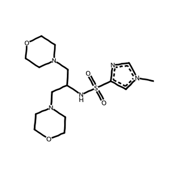 Cn1cnc(S(=O)(=O)NC(CN2CCOCC2)CN2CCOCC2)c1